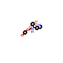 COc1ccc(OCC(=O)NC(c2ccccc2)c2ccc3cccnc3c2O)cc1